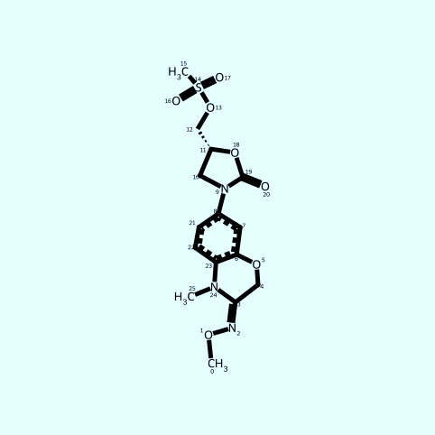 CON=C1COc2cc(N3C[C@H](COS(C)(=O)=O)OC3=O)ccc2N1C